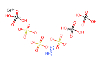 O=S(=O)([O-])[O-].O=S(=O)([O-])[O-].O=S(=O)([O-])[O-].[Ce+4].[NH4+].[NH4+].[O]=[Mo](=[O])([OH])[OH].[O]=[Mo](=[O])([OH])[OH].[O]=[Mo](=[O])([OH])[OH]